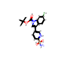 CC(C)(C)OC(=O)n1cc(-c2ccc(S(N)(=O)=O)nc2)c2ccc(F)cc21